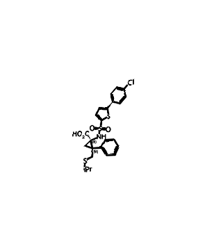 CC(C)SC[C@@]1(c2ccccc2)C[C@]1(NS(=O)(=O)c1ccc(-c2ccc(Cl)cc2)s1)C(=O)O